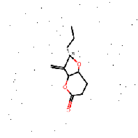 C=C1C2OC(=O)CCC2O[C@H]1CCC